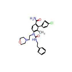 Cc1c(N(CCN2CCOCC2)C(=O)NCCc2ccccc2)ccc(C(N)=O)c1-c1ccc(Cl)cc1